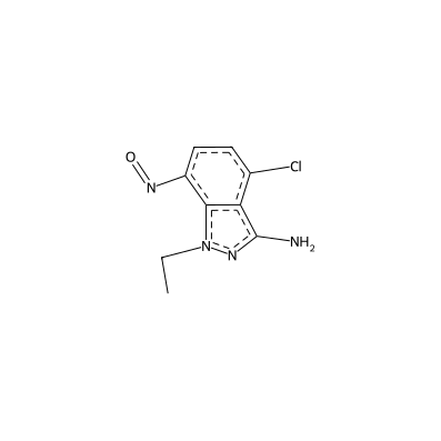 CCn1nc(N)c2c(Cl)ccc(N=O)c21